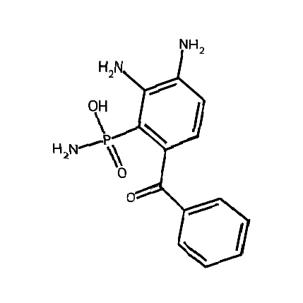 Nc1ccc(C(=O)c2ccccc2)c(P(N)(=O)O)c1N